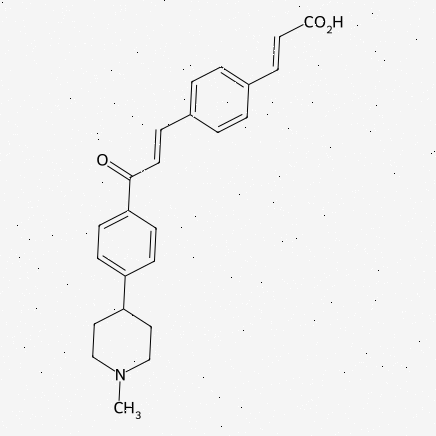 CN1CCC(c2ccc(C(=O)/C=C/c3ccc(/C=C/C(=O)O)cc3)cc2)CC1